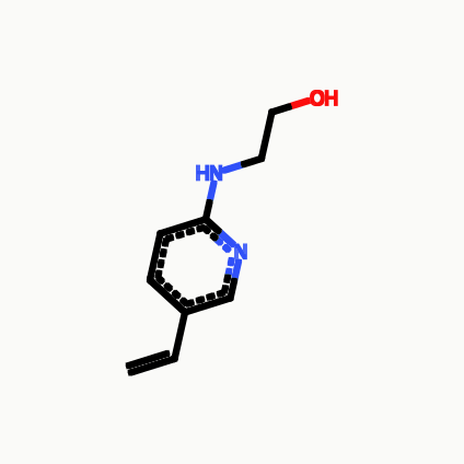 C=Cc1ccc(NCCO)nc1